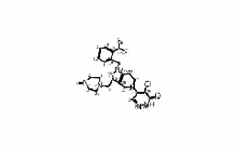 CN1CCN(Cc2nn(Cc3ccccc3C(F)F)c3c2CN(c2cn[nH]c(=O)c2Cl)CC3)CC1